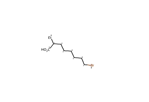 [CH2]CC(CCCCCCBr)C(=O)O